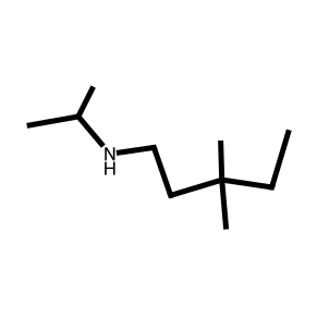 CCC(C)(C)CCNC(C)C